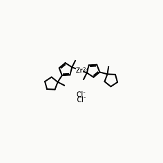 C[C]1([Zr+2][C]2(C)C=CC(C3(C)CCCC3)=C2)C=CC(C2(C)CCCC2)=C1.[Cl-].[Cl-]